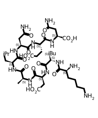 CC[C@H](C)[C@H](NC(=O)[C@@H](N)CCCCN)C(=O)N[C@@H](CC(=O)O)C(=O)N[C@@H](C)C(=O)N[C@@H](CC(C)C)C(=O)N[C@@H](CC(N)=O)C(=O)N[C@@H](CCC(=O)O)C(=O)N[C@@H](CC(N)=O)C(=O)O